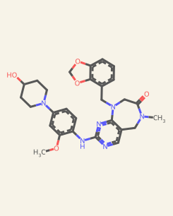 COc1cc(N2CCC(O)CC2)ccc1Nc1ncc2c(n1)N(Cc1cccc3c1OCO3)CC(=O)N(C)C2